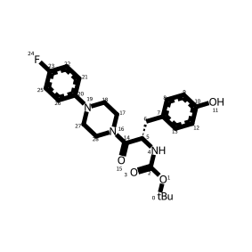 CC(C)(C)OC(=O)N[C@@H](Cc1ccc(O)cc1)C(=O)N1CCN(c2ccc(F)cc2)CC1